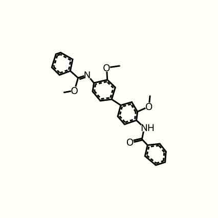 CO/C(=N\c1ccc(-c2ccc(NC(=O)c3ccccc3)c(OC)c2)cc1OC)c1ccccc1